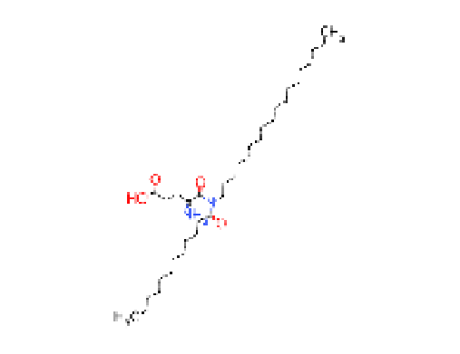 CCCCCCCCCCCCCCCCCCN(C(=O)CCCCCCCCCCC)C(=O)[C@@H](N)CCC(=O)O